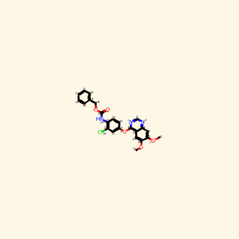 COc1cc2ncnc(Oc3ccc(NC(=O)OCc4ccccc4)c(Cl)c3)c2cc1OC